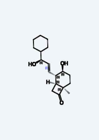 C[C@@]12CC[C@H](O)[C@@H](/C=C/[C@@H](O)C3CCCCC3)[C@@H]1CC2=O